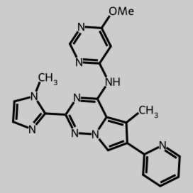 COc1cc(Nc2nc(-c3nccn3C)nn3cc(-c4ccccn4)c(C)c23)ncn1